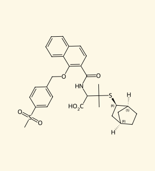 CC(C)(S[C@@H]1C[C@@H]2CC[C@H]1C2)C(NC(=O)c1ccc2ccccc2c1OCc1ccc(S(C)(=O)=O)cc1)C(=O)O